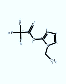 CCn1ccnc1OC(=O)C(F)(F)F